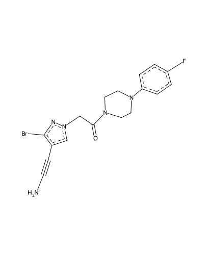 NC#Cc1cn(CC(=O)N2CCN(c3ccc(F)cc3)CC2)nc1Br